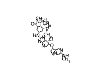 CNc1cn2ncc(Oc3cnc4nc(Nc5cc6c(c(C(F)(F)F)c5)C(C)(C)N(C)C6=O)n(C)c4c3Cl)c2cn1